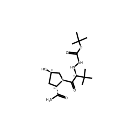 CC(C)(C)OC(=O)NN[C@H](C(=O)N1C[C@H](O)C[C@H]1C(N)=O)C(C)(C)C